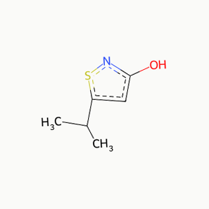 CC(C)c1cc(O)ns1